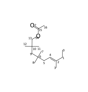 CCC(C)=CCC(C)(C)CC(C)(C)COC(C)=O